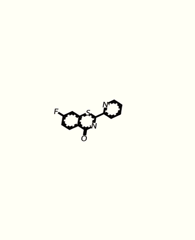 O=c1nc(-c2ccccn2)sc2cc(F)ccc12